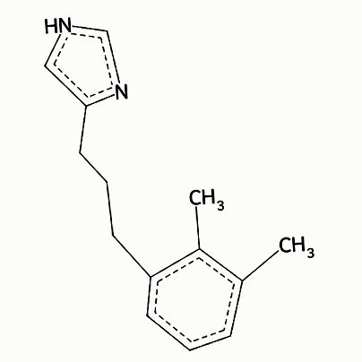 Cc1cccc(CCCc2c[nH]cn2)c1C